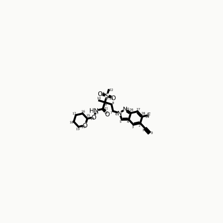 C#Cc1cc2cn(CCC(C)(C(=O)NOC3CCCCO3)S(C)(=O)=O)nc2cc1F